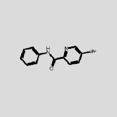 CC(C)c1ccc(C(=O)Nc2ccccc2)nc1